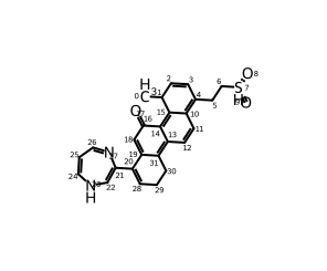 CC1C=CC(CC[SH](=O)=O)=c2ccc3c(c21)C(=O)C=C1C(C2=CNC=CC=N2)=CCCC=31